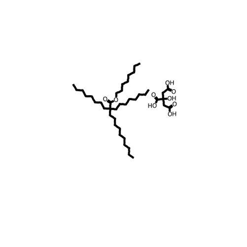 CCCCCCCCCCC(CCCCCCCC)(CCCCCCCC)C(=O)OCCCCCCCC.O=C(O)CC(O)(CC(=O)O)C(=O)O